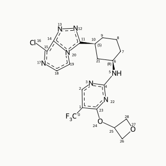 FC(F)(F)c1cnc(N[C@@H]2CCC[C@H](c3nnc4c(Cl)nccn34)C2)nc1OC1COC1